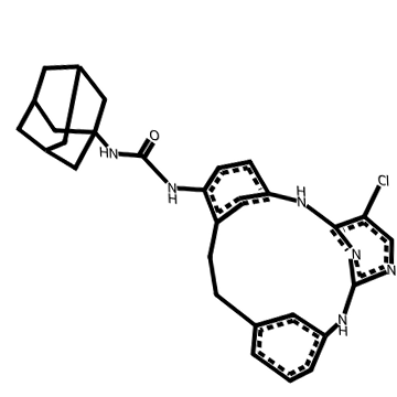 O=C(Nc1ccc2cc1CCc1cccc(c1)Nc1ncc(Cl)c(n1)N2)NC12CC3CC(CC(C3)C1)C2